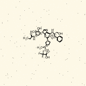 CCC(=O)N[C@H]1C[C@@H](n2cnc3c(N[C@@H](CO)[C@@H](O)c4ccccc4)nc(N4CC[C@@H](N(C)C)C4)nc32)[C@H](O)[C@@H]1O.O=C(O)C(F)(F)F